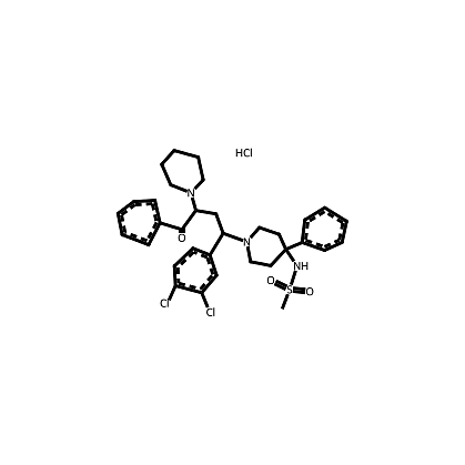 CS(=O)(=O)NC1(c2ccccc2)CCN(C(CC(C(=O)c2ccccc2)N2CCCCC2)c2ccc(Cl)c(Cl)c2)CC1.Cl